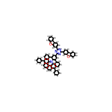 c1ccc(-c2ccc(N(c3ccc(-c4ccccc4)cc3-c3ccccc3)c3c(-c4ccccc4)cc(-c4nc(-c5ccc6c(c5)oc5ccccc56)nc(-c5ccc6c(c5)oc5ccccc56)n4)cc3-c3ccccc3)c(-c3ccccc3)c2)cc1